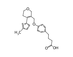 Cc1ccc(C2=C(COc3ccc(CCCC(=O)O)cc3)COCC2)s1